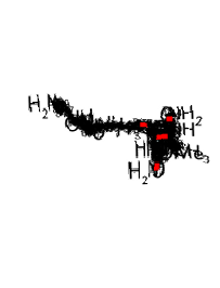 CCn1nc(C)cc1C(=O)/N=c1/[nH]c2cc(C(N)=O)cc(OC)c2n1C/C=C/Cn1/c(=N\C(=O)c2cc(C)nn2CC)[nH]c2cc(C(N)=O)cc(OCCCN3CCN(CCCCCCCNC(=O)Cn4ccc5cc(C(=O)NCCc6ccc(N)cc6)cnc54)CC3)c21